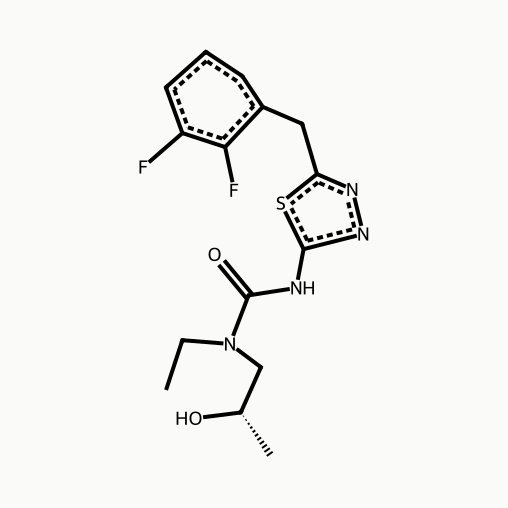 CCN(C[C@H](C)O)C(=O)Nc1nnc(Cc2cccc(F)c2F)s1